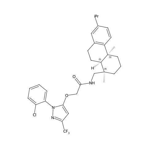 CC(C)c1ccc2c(c1)CC[C@@H]1[C@](C)(CNC(=O)COc3cc(C(F)(F)F)nn3-c3ccccc3Cl)CCC[C@]21C